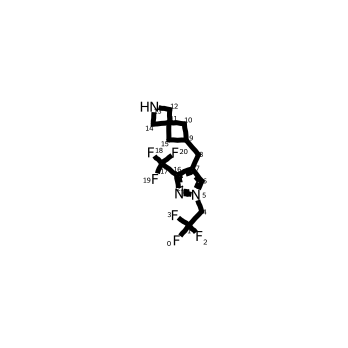 FC(F)(F)Cn1cc(CC2CC3(CNC3)C2)c(C(F)(F)F)n1